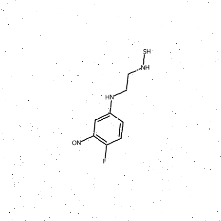 O=Nc1cc(NCCNS)ccc1F